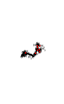 CC[C@@H]1[C@H](F)C(=O)N[C@@H]1COc1ncc(C#C[C@H]2CC[C@@H](CN(C)CCCOCCCc3ccc4c(c3)n(C)c(=O)n4C3CCC(=O)NC3=O)CC2)c2cc(C(N)=O)c(OC)cc12